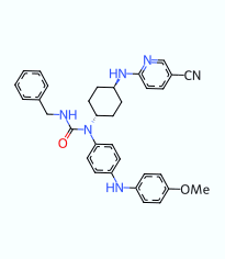 COc1ccc(Nc2ccc(N(C(=O)NCc3ccccc3)[C@H]3CC[C@H](Nc4ccc(C#N)cn4)CC3)cc2)cc1